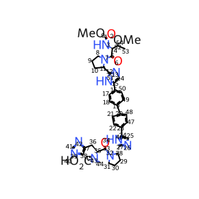 COC(=O)N[C@H](C(=O)N1CCCC1c1ncc(-c2ccc(-c3ccc(-c4cnc([C@@H]5CCCN5C(=O)[C@H](Cc5cn(C)cn5)N(C)C(=O)O)[nH]4)cc3)cc2)[nH]1)[C@@H](C)OC